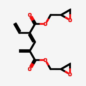 C=C/C(=C\C(=C)C(=O)OCC1CO1)C(=O)OCC1CO1